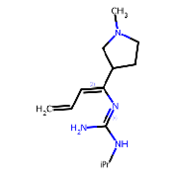 C=C/C=C(\N=C(/N)NC(C)C)C1CCN(C)C1